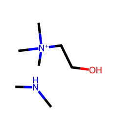 CNC.C[N+](C)(C)CCO